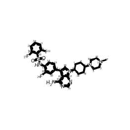 CN1CCN(C2CCC(n3cc(-c4ccc(NS(=O)(=O)c5c(F)cccc5F)c(F)c4)c4c(N)ncnc43)CC2)CC1